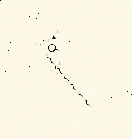 CCOC(=O)C1=C[C@@H](O[C@@H](CC)CCNC(=O)CCOCCOCCOCCOCCN)[C@H](NC(C)=O)[C@@H](NC(=O)OC(C)(C)C)C1